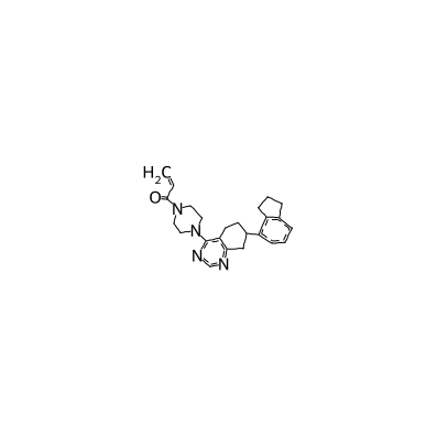 C=CC(=O)N1CCN(c2ncnc3c2CCC(c2cccc4c2CCC4)C3)CC1